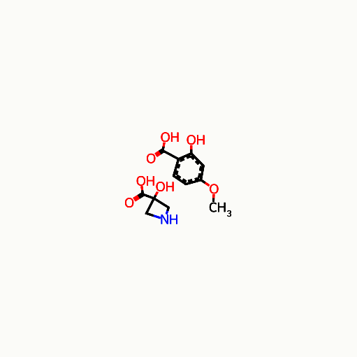 COc1ccc(C(=O)O)c(O)c1.O=C(O)C1(O)CNC1